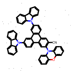 N#Cc1cc2c3ccc(-n4c5ccccc5c5ccccc54)cc3c3cc(-n4c5ccccc5c5ccccc54)ccc3c2cc1N1c2ccccc2Oc2ccccc21